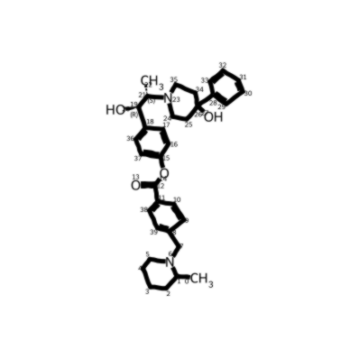 CC1CCCCN1Cc1ccc(C(=O)Oc2ccc([C@@H](O)[C@H](C)N3CCC(O)(c4ccccc4)CC3)cc2)cc1